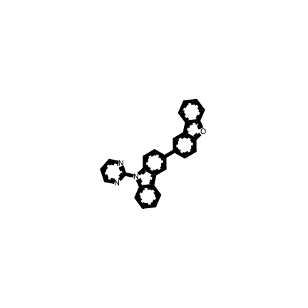 c1cnc(-n2c3ccccc3c3cc(-c4ccc5oc6ccccc6c5c4)ccc32)nc1